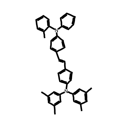 Cc1cc(C)cc(N(c2ccc(/C=C/c3ccc(N(c4ccccc4)c4ccccc4C)cc3)cc2)c2cc(C)cc(C)c2)c1